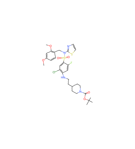 COc1ccc(CN(c2nccs2)S(=O)(=O)c2cc(Cl)c(NCCC3CCN(C(=O)OC(C)(C)C)CC3)cc2F)c(OC)c1